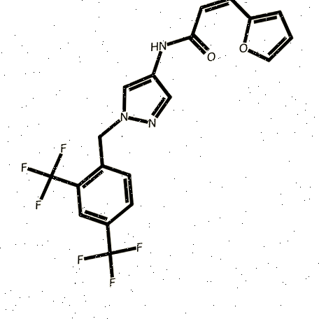 O=C(/C=C\c1ccco1)Nc1cnn(Cc2ccc(C(F)(F)F)cc2C(F)(F)F)c1